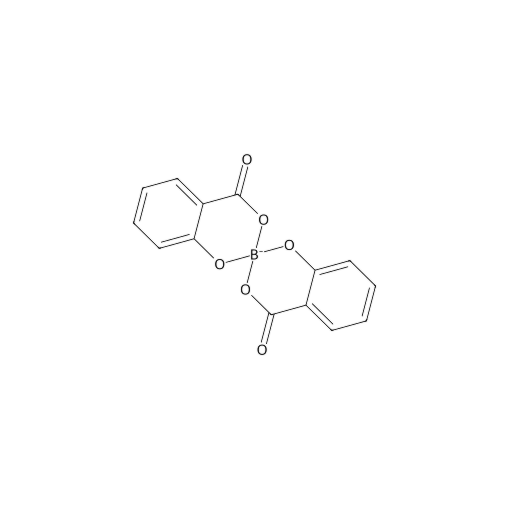 O=C1O[B-]2(OC(=O)c3ccccc3O2)Oc2ccccc21